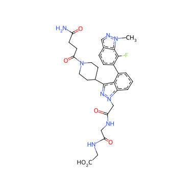 Cn1ncc2ccc(-c3cccc4c3c(C3CCN(C(=O)CCC(N)=O)CC3)nn4CC(=O)NCC(=O)NCC(=O)O)c(F)c21